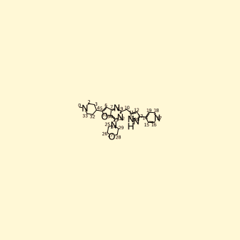 CN1CCC(c2cc3nc(Cc4cc(-c5ccncc5)n[nH]4)nc(N4CCOCC4)c3o2)CC1